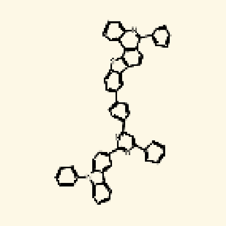 c1ccc(-c2cc(-c3ccc(-c4ccc5sc6c(ccc7c(-c8ccccc8)nc8ccccc8c76)c5c4)cc3)nc(-c3ccc4c(c3)c3ccccc3n4-c3ccccc3)n2)cc1